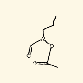 CCCN([C]=O)OC(C)=O